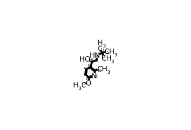 COc1ccc([C@@H](O)CNC(C)(C)C)c(C)n1